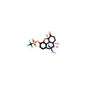 CN1CC[C@]23c4c5ccc(OS(=O)(=O)C(F)(F)F)c4O[C@H]2C(=O)CC[C@@]3(O)[C@H]1C5